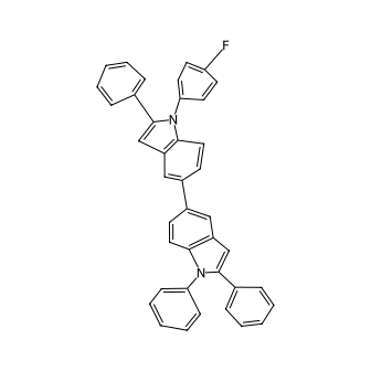 Fc1ccc(-n2c(-c3ccccc3)cc3cc(-c4ccc5c(c4)cc(-c4ccccc4)n5-c4ccccc4)ccc32)cc1